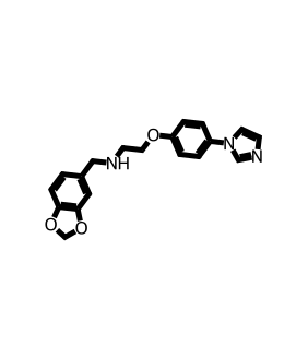 c1cn(-c2ccc(OCCNCc3ccc4c(c3)OCO4)cc2)cn1